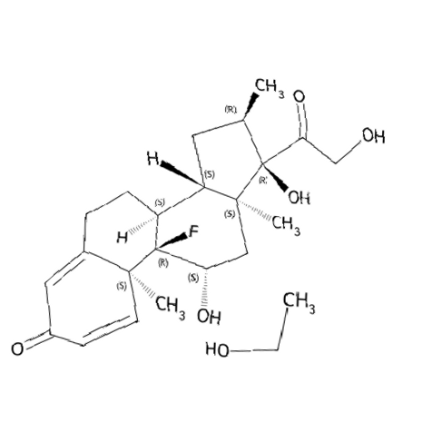 CCO.C[C@@H]1C[C@H]2[C@@H]3CCC4=CC(=O)C=C[C@]4(C)[C@@]3(F)[C@@H](O)C[C@]2(C)[C@@]1(O)C(=O)CO